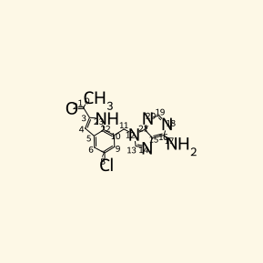 CC(=O)c1cc2cc(Cl)cc(Cn3cnc4c(N)ncnc43)c2[nH]1